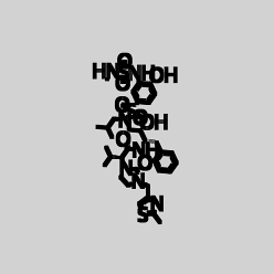 CNS(=O)(=O)Nc1cc(S(=O)(=O)N(CC(C)C)C[C@@H](O)[C@H](Cc2ccccc2)NC(=O)[C@H](C(C)C)N2CCN(Cc3csc(C)n3)C2=O)ccc1O